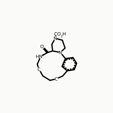 O=C1NCCCCCCc2cccc(c2)N2CCN(C(=O)O)CC12